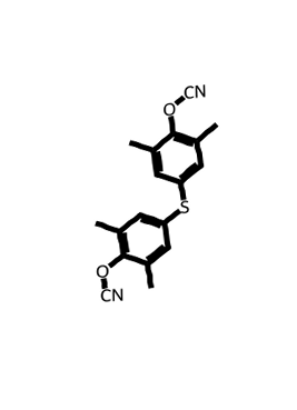 Cc1cc(Sc2cc(C)c(OC#N)c(C)c2)cc(C)c1OC#N